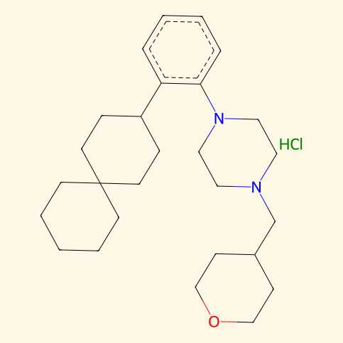 Cl.c1ccc(N2CCN(CC3CCOCC3)CC2)c(C2CCC3(CCCCC3)CC2)c1